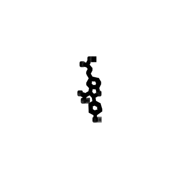 O=C(O)/C=C/c1ccc2c(c1)C(C(=O)O)C(c1ccc(O)cc1)O2